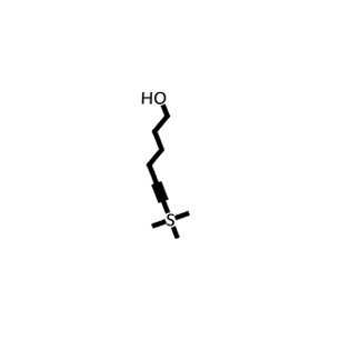 CS(C)(C)C#CCCCCO